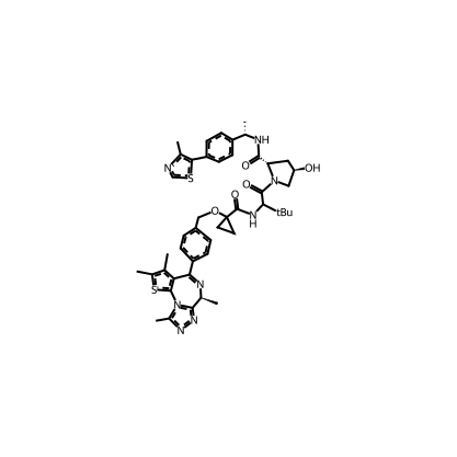 Cc1ncsc1-c1ccc([C@H](C)NC(=O)[C@@H]2C[C@@H](O)CN2C(=O)C(NC(=O)C2(OCc3ccc(C4=N[C@@H](C)c5nnc(C)n5-c5sc(C)c(C)c54)cc3)CC2)C(C)(C)C)cc1